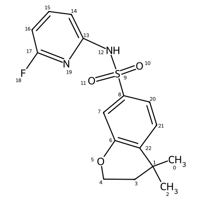 CC1(C)CCOc2cc(S(=O)(=O)Nc3cccc(F)n3)ccc21